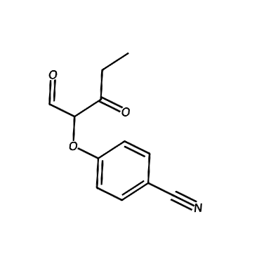 CCC(=O)C(C=O)Oc1ccc(C#N)cc1